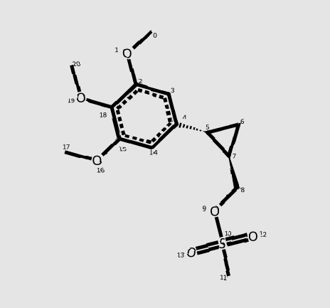 COc1cc([C@@H]2C[C@H]2COS(C)(=O)=O)cc(OC)c1OC